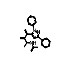 C=C(C)NC(C)C(=C)C(=C)c1cc(-c2ccccc2)nn1-c1ccccc1